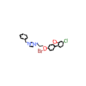 Clc1ccc2c(c1)oc1cc(OCCC[n+]3ccn(Cc4ccccc4)c3)ccc12.[Br-]